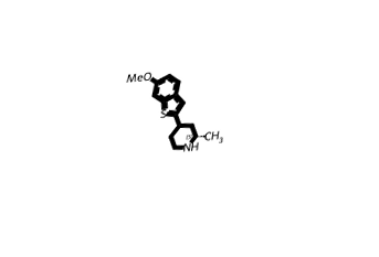 COc1ccc2cc(C3CCN[C@@H](C)C3)sc2c1